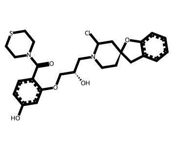 O=C(c1ccc(O)cc1OC[C@@H](O)CN1CC[C@@]2(Cc3ccccc3O2)CC1Cl)N1CCSCC1